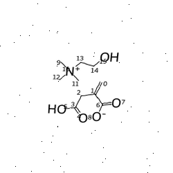 C=C(CC(=O)O)C(=O)[O-].C[N+](C)(C)CCO